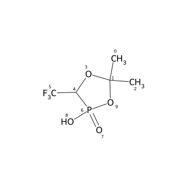 CC1(C)OC(C(F)(F)F)P(=O)(O)O1